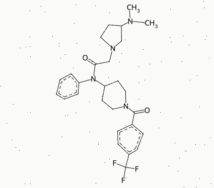 CN(C)C1CCN(CC(=O)N(c2ccccc2)C2CCN(C(=O)c3ccc(C(F)(F)F)cc3)CC2)C1